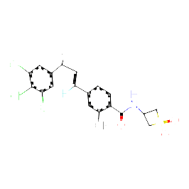 O=C(NC1CS(=O)(=O)C1)c1ccc(/C(F)=C/C(c2cc(Cl)c(Cl)c(Cl)c2)C(F)(F)F)cc1C(F)(F)F